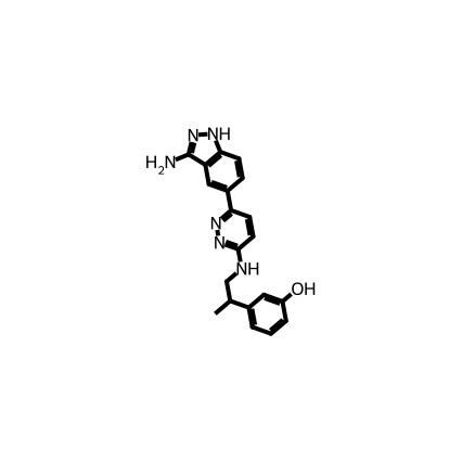 CC(CNc1ccc(-c2ccc3[nH]nc(N)c3c2)nn1)c1cccc(O)c1